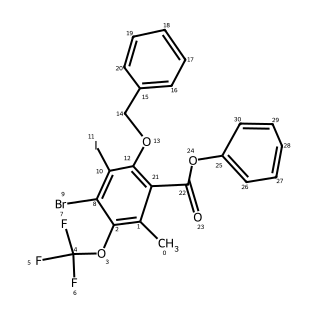 Cc1c(OC(F)(F)F)c(Br)c(I)c(OCc2ccccc2)c1C(=O)Oc1ccccc1